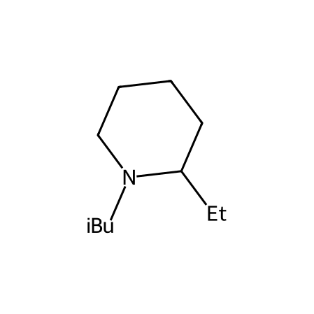 CCC(C)N1CCCCC1CC